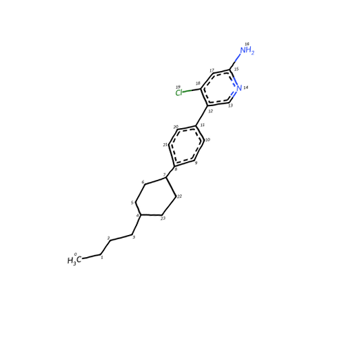 CCCCC1CCC(c2ccc(-c3cnc(N)cc3Cl)cc2)CC1